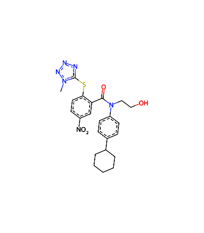 Cn1nnnc1Sc1ccc([N+](=O)[O-])cc1C(=O)N(CCO)c1ccc(C2CCCCC2)cc1